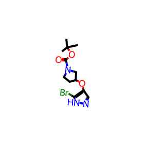 CC(C)(C)OC(=O)N1CCC(Oc2cn[nH]c2Br)C1